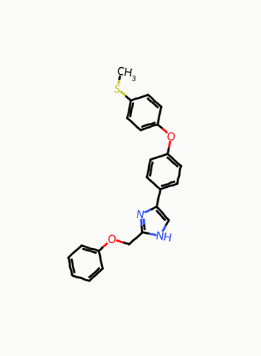 CSc1ccc(Oc2ccc(-c3c[nH]c(COc4ccccc4)n3)cc2)cc1